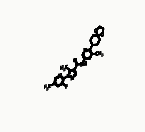 Cc1cc(NC(=O)c2cnn(-c3ncc(C(F)(F)F)cc3F)c2C)cnc1C1CCC2(CC1)OCCO2